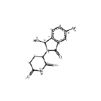 O=C1CCC(N2C(=O)c3cc(Br)ccc3C2O)C(=O)N1